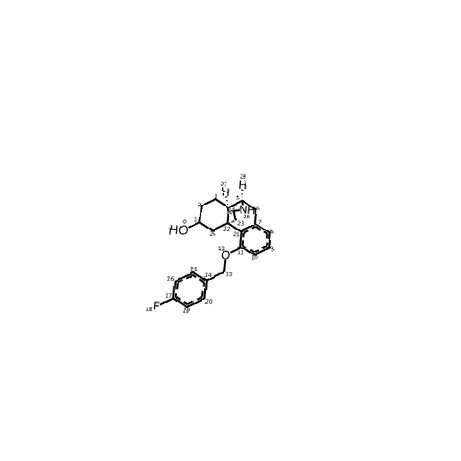 OC1CC[C@H]2[C@H]3Cc4cccc(OCc5ccc(F)cc5)c4[C@@]2(CCN3)C1